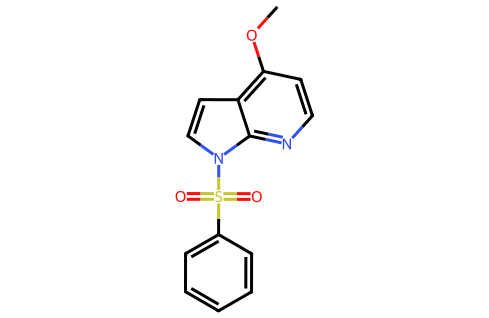 COc1ccnc2c1ccn2S(=O)(=O)c1ccccc1